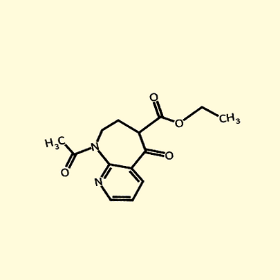 CCOC(=O)C1CCN(C(C)=O)c2ncccc2C1=O